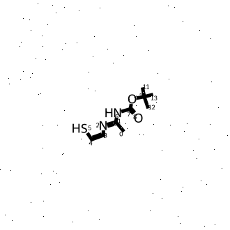 C/C(=N\C=C/S)NC(=O)OC(C)(C)C